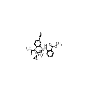 COC(=O)c1cccnc1N[C@H]1c2cc(C#N)ccc2N(C(C)=O)[C@H](C2CC2)[C@@H]1C